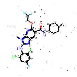 Cn1c(Nc2c(Cl)cc(F)cc2Cl)nc2cc(C(=O)N[C@H]3CC[C@H](C)CC3)c(OCC(F)F)nc21